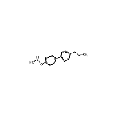 CCCc1ccc(-c2ccc(OBO)cc2)cc1